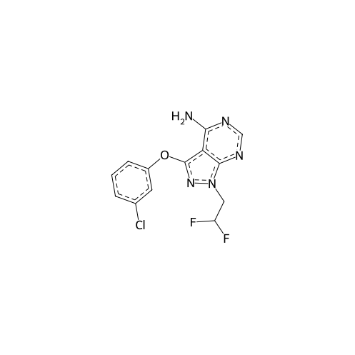 Nc1ncnc2c1c(Oc1cccc(Cl)c1)nn2CC(F)F